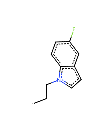 [CH2]CCn1ccc2cc(F)ccc21